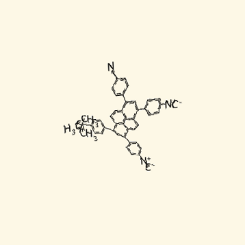 [C-]#[N+]c1ccc(-c2cc(-c3ccc(C#N)cc3)c3ccc4c(-c5ccc([Si](C)(C)C)cc5)cc(-c5ccc([N+]#[C-])cc5)c5ccc2c3c54)cc1